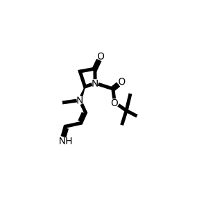 CN(/C=C\C=N)[C@H]1CC(=O)N1C(=O)OC(C)(C)C